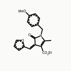 CCOC(=O)C1=C(C)N(Cc2ccc(OC)cc2)C(=O)C1=Cc1ccco1